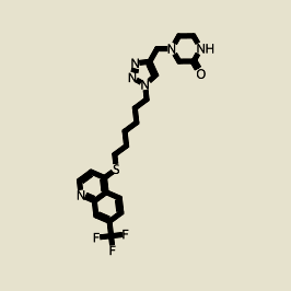 O=C1CN(Cc2cn(CCCCCCSc3ccnc4cc(C(F)(F)F)ccc34)nn2)CCN1